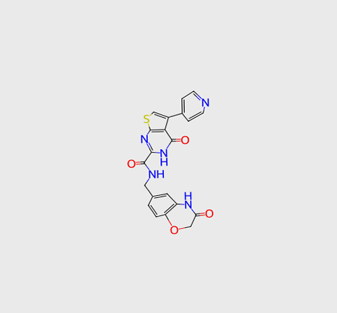 O=C1COc2ccc(CNC(=O)c3nc4scc(-c5ccncc5)c4c(=O)[nH]3)cc2N1